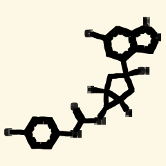 O=C(Nc1ccc(Cl)cc1)N[C@H]1[C@@H]2C[C@](O)(c3cc(Cl)cc4[nH]ncc34)C[C@@H]21